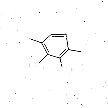 Nc1c(Br)ccc(F)c1C(=O)O